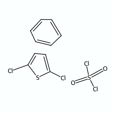 Clc1ccc(Cl)s1.O=S(=O)(Cl)Cl.c1ccccc1